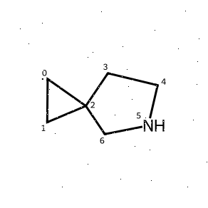 [CH]1CC12CCNC2